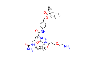 CCC(C)(C)C(=O)OCc1ccc(NC(=O)[C@H](CCCNC(N)=O)NC(=O)[C@@H](NC(=O)CCOCCN)C(C)C)cc1